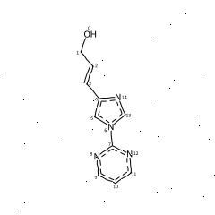 OCC=Cc1cn(-c2ncccn2)cn1